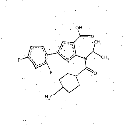 CC1CCC(C(=O)N(c2sc(-c3ccc(F)cc3F)cc2C(=O)O)C(C)C)CC1